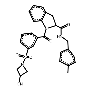 Cc1ccc(CNC(=O)C2Cc3ccccc3N2C(=O)c2cccc(S(=O)(=O)N3CC(C#N)C3)c2)cc1